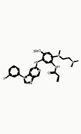 C=CC(=O)Nc1cc(Nc2cc3c(cn2)ncn3-c2cccc(F)c2)c(OC)cc1N(C)CCN(C)C